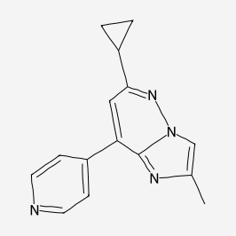 Cc1cn2nc(C3CC3)cc(-c3ccncc3)c2n1